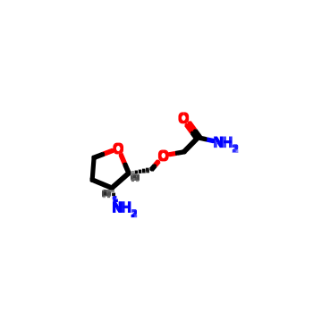 NC(=O)COC[C@H]1OCC[C@H]1N